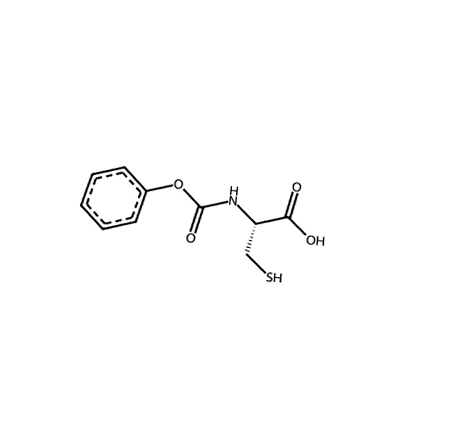 O=C(N[C@@H](CS)C(=O)O)Oc1ccccc1